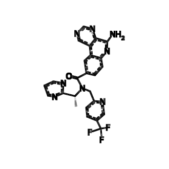 C[C@H](c1ncccn1)N(Cc1ccc(C(F)(F)F)cn1)C(=O)c1ccc2nc(N)c3ncncc3c2c1